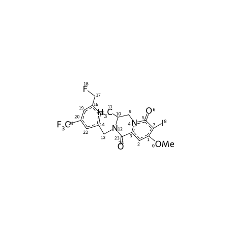 COc1cc2n(c(=O)c1I)CC(C)N(Cc1cc(CF)cc(C(F)(F)F)c1)C2=O